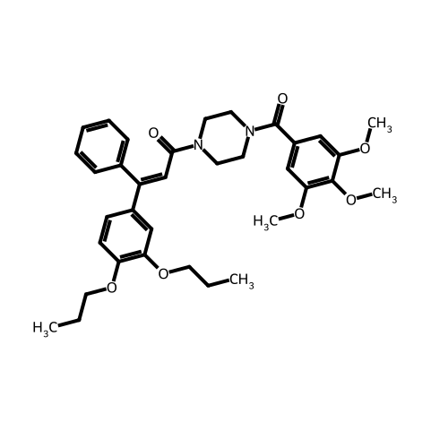 CCCOc1ccc(C(=CC(=O)N2CCN(C(=O)c3cc(OC)c(OC)c(OC)c3)CC2)c2ccccc2)cc1OCCC